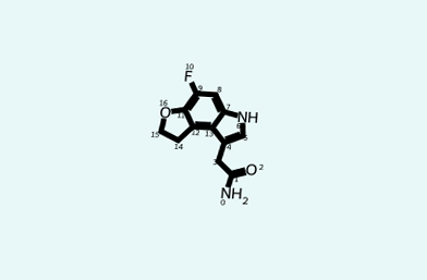 NC(=O)Cc1c[nH]c2cc(F)c3c(c12)CCO3